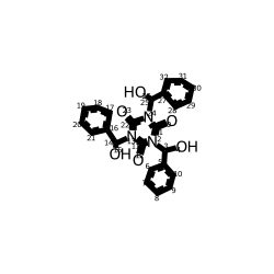 O=c1n(C(O)c2ccccc2)c(=O)n(C(O)c2ccccc2)c(=O)n1C(O)c1ccccc1